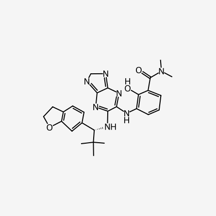 CN(C)C(=O)c1cccc(Nc2nc3c(nc2N[C@@H](c2ccc4c(c2)OCC4)C(C)(C)C)=NCN=3)c1O